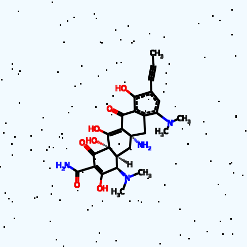 CC#Cc1cc(N(C)C)c2c(c1O)C(=O)C1=C(O)[C@]3(O)C(=O)C(C(N)=O)=C(O)[C@H](N(C)C)[C@@H]3C[C@]1(N)C2